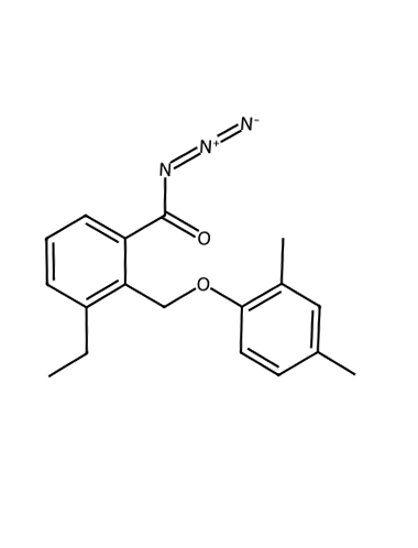 CCc1cccc(C(=O)N=[N+]=[N-])c1COc1ccc(C)cc1C